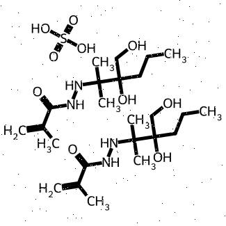 C=C(C)C(=O)NNC(C)(C)C(O)(CO)CCC.C=C(C)C(=O)NNC(C)(C)C(O)(CO)CCC.O=S(=O)(O)O